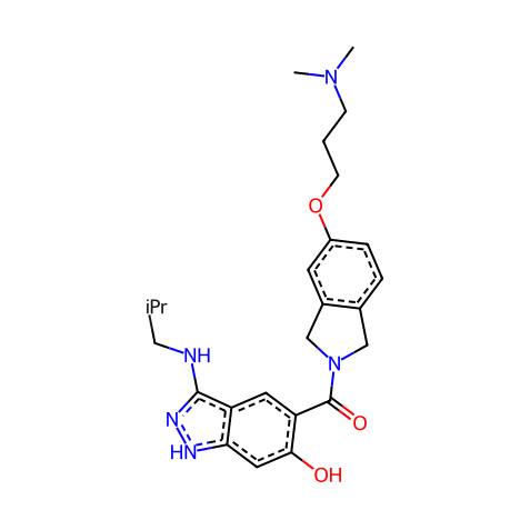 CC(C)CNc1n[nH]c2cc(O)c(C(=O)N3Cc4ccc(OCCCN(C)C)cc4C3)cc12